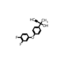 C#CC(C)(O)c1ccc(Oc2ccc(F)c(F)c2)cc1